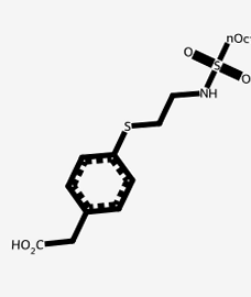 CCCCCCCCS(=O)(=O)NCCSc1ccc(CC(=O)O)cc1